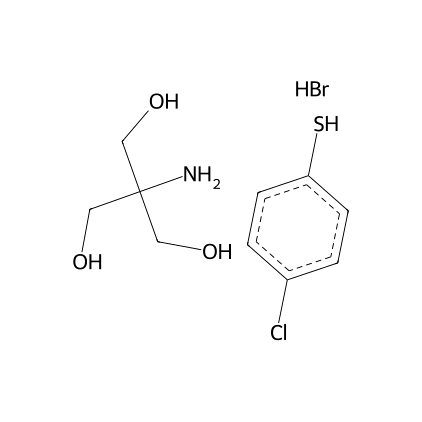 Br.NC(CO)(CO)CO.Sc1ccc(Cl)cc1